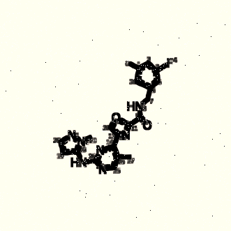 Cc1cc(F)cc(CNC(=O)c2nc(-c3nc(Nc4ccnn4C)ncc3C)co2)c1